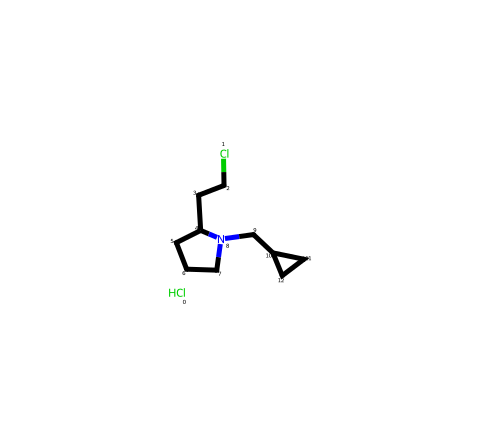 Cl.ClCCC1CCCN1CC1CC1